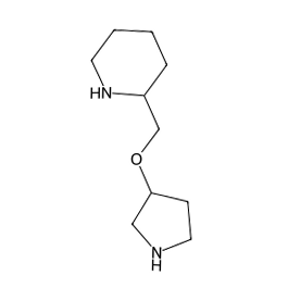 C1CCC(COC2CCNC2)NC1